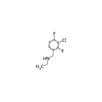 CCNCc1ccc(F)c(Cl)c1F